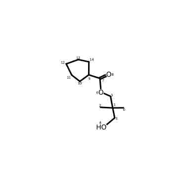 CC(C)(CO)COC(=O)C1CCCCC1